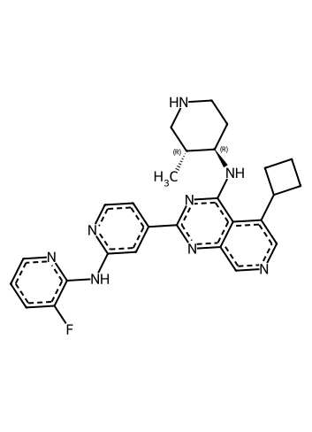 C[C@@H]1CNCC[C@H]1Nc1nc(-c2ccnc(Nc3ncccc3F)c2)nc2cncc(C3CCC3)c12